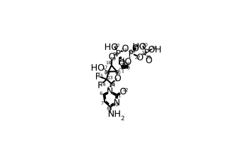 C#C[C@]12O[C@@H](n3ccc(N)nc3=O)C(F)(F)[C@@]1(O)C2OP(=O)(O)OP(=O)(O)OP(=O)(O)O